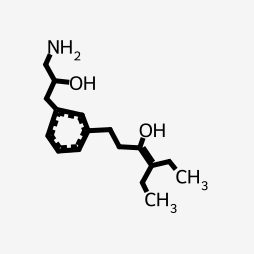 CCC(CC)=C(O)CCc1cccc(CC(O)CN)c1